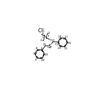 C[N+](C)(C)C.[Cl-].c1ccc(CSCc2ccccc2)cc1